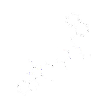 CC(C)CC1(c2ccccc2)NC(=N)N(CCCC(C)NC(=O)C(Cc2cccc3ccccc23)NC(=O)O)C1=O